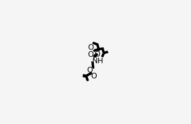 C=C(C)C(=O)OCCNC(=O)OC1(CC(C)C)CCOC1